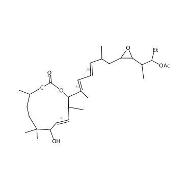 CCC(OC(C)=O)C(C)C1OC1CC(C)/C=C/C=C(\C)C1OC(=O)CC(C)CCC(C)(C)C(O)/C=C/C1C